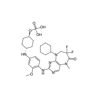 COc1cc(N[C@H]2CC[C@H](OP(=O)(O)O)CC2)ccc1Nc1ncc2c(n1)N(C1CCCCC1)CC(F)(F)C(=O)N2C